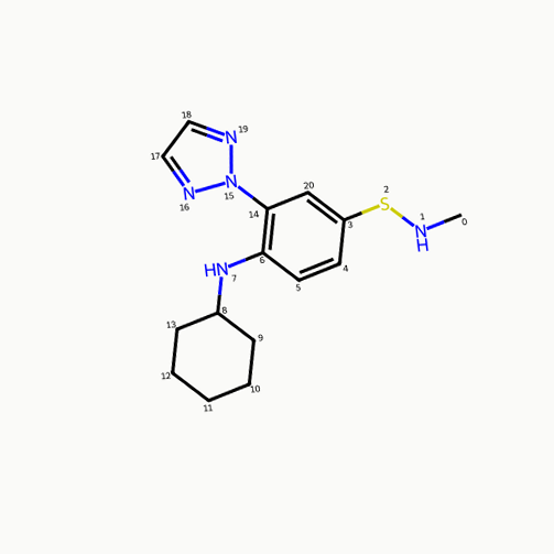 CNSc1ccc(NC2CCCCC2)c(-n2nccn2)c1